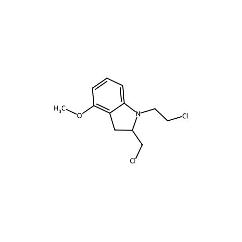 COc1cccc2c1CC(CCl)N2CCCl